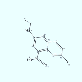 CCNc1cc(C(=O)O)c2cc(F)ccc2n1